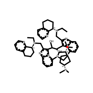 CCN(Cc1nc2cccc(N3CC[C@@H](N(C)C)C3)n2c1C(O)C(O)c1c(CN(CC)[C@H]2CCCc3cccnc32)nc2cccc(N3CC[C@@H](N(C)C)C3)n12)[C@H]1CCCc2cccnc21